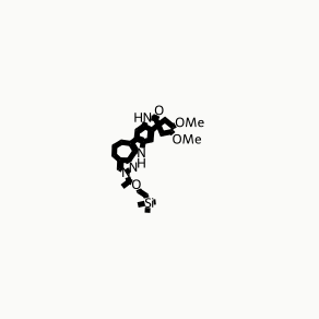 COCCC1(CCOC)C(=O)Nc2cc3c4c([nH]c3cc21)-c1nn(C(C)OCC[Si](C)(C)C)cc1CCC4